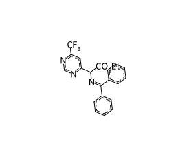 CCOC(=O)C(N=C(c1ccccc1)c1ccccc1)c1cc(C(F)(F)F)ncn1